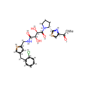 COC(=O)c1csc([C@H]2CCCN2C(=O)[C@H](O)[C@@H](O)C(=O)NCc2cc(Cc3ccccc3Cl)cs2)n1